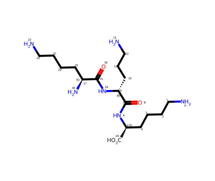 NCCCC[C@H](NC(=O)[C@@H](CCCN)NC(=O)[C@@H](N)CCCCN)C(=O)O